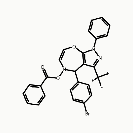 O=C(ON1C=COc2c(c(C(F)(F)F)nn2-c2ccccc2)C1c1ccc(Br)cc1)c1ccccc1